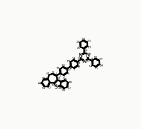 C1=C(c2ccc(-c3ccc(-c4nc(-c5ccccc5)nc(-c5ccccc5)n4)cc3)cc2)c2c(sc3ccccc23)-c2ccccc2C1